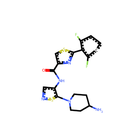 NC1CCN(c2sncc2NC(=O)c2csc(-c3c(F)cccc3F)n2)CC1